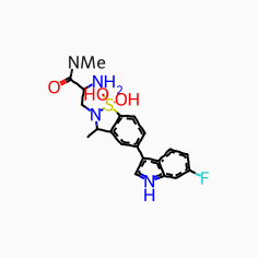 CNC(=O)C(N)CN1C(C)c2cc(-c3c[nH]c4cc(F)ccc34)ccc2S1(O)O